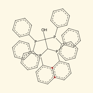 OC(C(P(c1ccccc1)c1ccccc1)P(c1ccccc1)c1ccccc1)(P(c1ccccc1)c1ccccc1)P(c1ccccc1)c1ccccc1